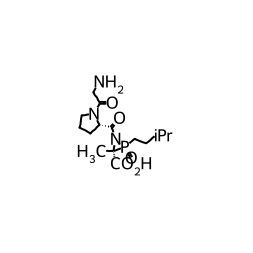 CC(C)CCP1(=O)N(C(=O)[C@@H]2CCCN2C(=O)CN)[C@@]1(C)C(=O)O